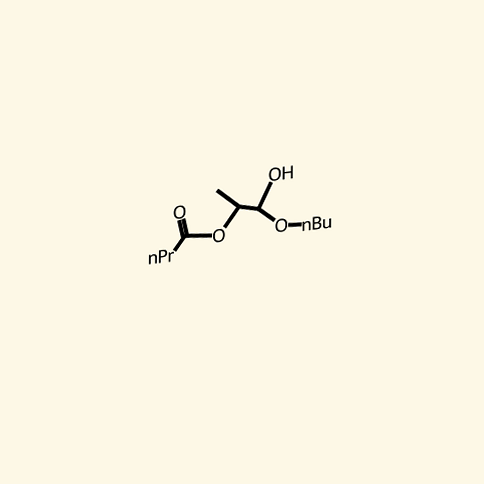 CCCCOC(O)C(C)OC(=O)CCC